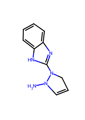 NN1C=CCN1c1nc2ccccc2[nH]1